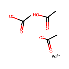 CC(=O)O.CC(=O)[O-].CC(=O)[O-].[Pd+2]